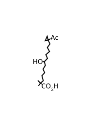 CC(=O)C1(CCCCCC(O)CCCCCC(C)(C)C(=O)O)CC1